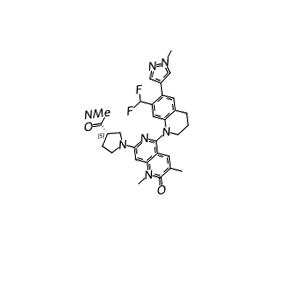 CNC(=O)[C@H]1CCN(c2cc3c(cc(C)c(=O)n3C)c(N3CCCc4cc(-c5cnn(C)c5)c(C(F)F)cc43)n2)C1